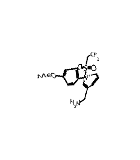 COc1ccc([N+]2(S(=O)(=O)CC(F)(F)F)C=C(CN)C=CC2)cc1